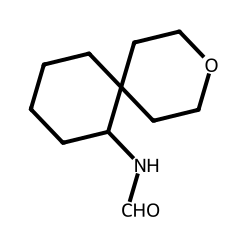 O=CNC1CCCCC12CCOCC2